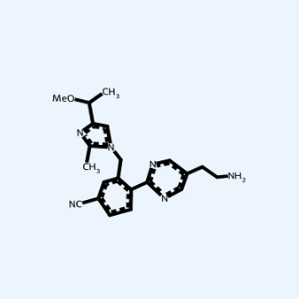 COC(C)c1cn(Cc2cc(C#N)ccc2-c2ncc(CCN)cn2)c(C)n1